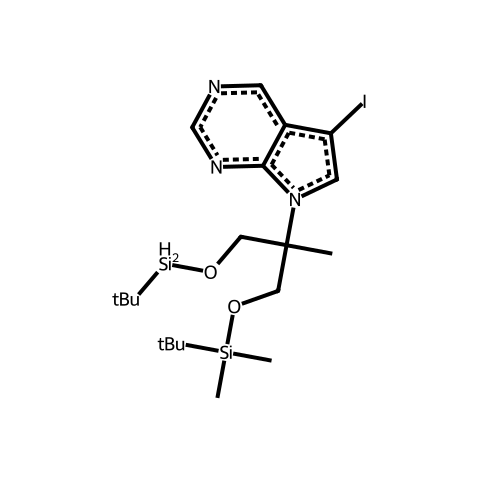 CC(C)(C)[SiH2]OCC(C)(CO[Si](C)(C)C(C)(C)C)n1cc(I)c2cncnc21